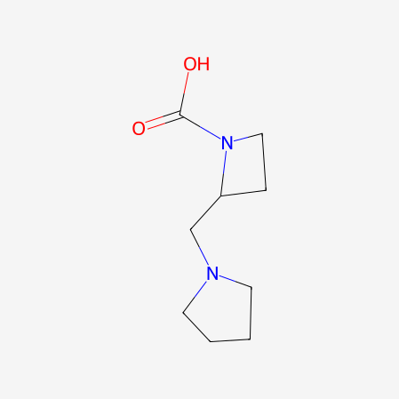 O=C(O)N1CCC1CN1CCCC1